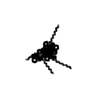 CCCCCCCCCCCC(c1ccccc1S(=O)(=O)[O][Ti]([O]S(=O)(=O)c1ccccc1C(CCCCCCCCCCC)S(=O)(=O)c1ccccc1N)([O]S(=O)(=O)c1ccccc1C(CCCCCCCCCCC)S(=O)(=O)c1ccccc1N)[O]S(=O)(=O)c1ccccc1C(CCCCCCCCCCC)S(=O)(=O)c1ccccc1N)S(=O)(=O)c1ccccc1N